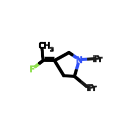 C/C(F)=C1/CC(C(C)C)N(C(C)C)C1